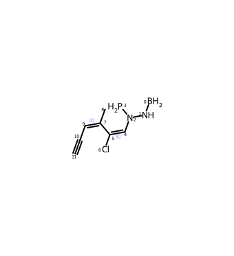 BNN(P)/C=C(Cl)\C(C)=C/C#C